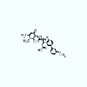 COc1cccc(-c2ccc(F)c(C(CC(=O)O)NC(=O)NC3C(=O)C=C(C)N(C)C3=O)c2)c1